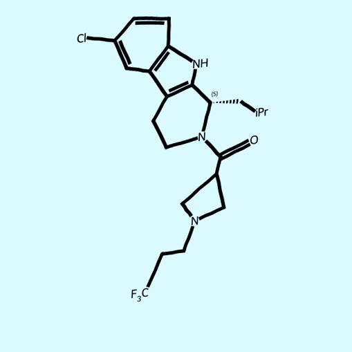 CC(C)C[C@H]1c2[nH]c3ccc(Cl)cc3c2CCN1C(=O)C1CN(CCC(F)(F)F)C1